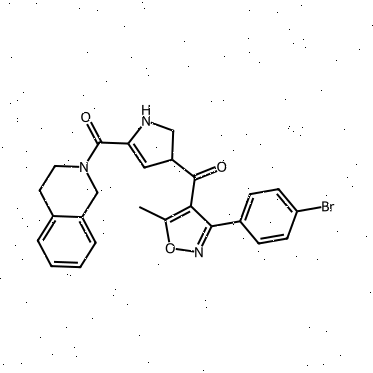 Cc1onc(-c2ccc(Br)cc2)c1C(=O)C1C=C(C(=O)N2CCc3ccccc3C2)NC1